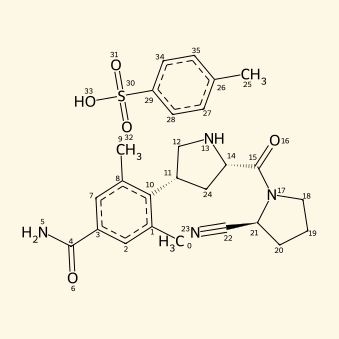 Cc1cc(C(N)=O)cc(C)c1[C@@H]1CN[C@H](C(=O)N2CCC[C@H]2C#N)C1.Cc1ccc(S(=O)(=O)O)cc1